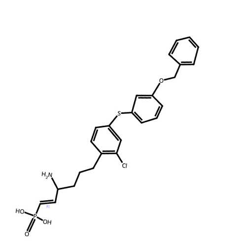 NC(/C=C/P(=O)(O)O)CCCc1ccc(Sc2cccc(OCc3ccccc3)c2)cc1Cl